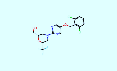 OC[C@@H]1CN(c2ncc(OCc3c(Cl)cccc3Cl)cn2)C[C@@H](C(F)(F)F)O1